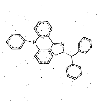 c1ccc(C(c2ccccc2)[C@@H]2COC(c3ccccc3P(c3ccccc3)c3ccccc3)=N2)cc1